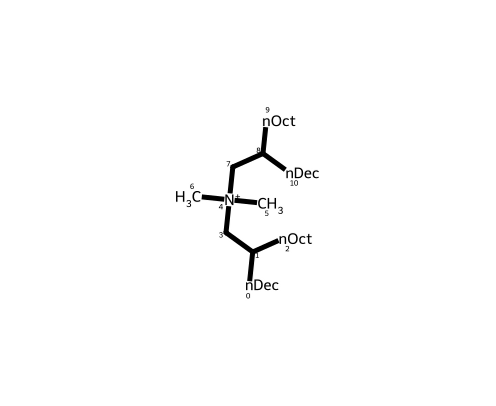 CCCCCCCCCCC(CCCCCCCC)C[N+](C)(C)CC(CCCCCCCC)CCCCCCCCCC